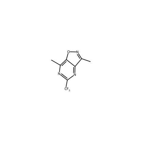 Cc1noc2c(C)nc(C(F)(F)F)nc12